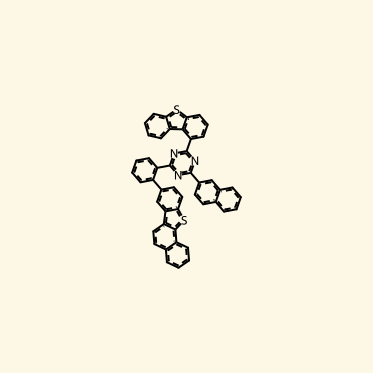 c1ccc(-c2nc(-c3ccc4ccccc4c3)nc(-c3cccc4sc5ccccc5c34)n2)c(-c2ccc3sc4c5ccccc5ccc4c3c2)c1